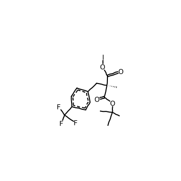 CC(C)(C)OC(=O)[C@@](C)(Cc1ccc(C(F)(F)F)cc1)C(=O)OI